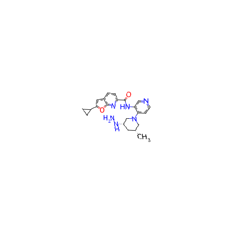 C[C@@H]1C[C@H](NN)CN(c2ccncc2NC(=O)c2ccc3cc(C4CC4)oc3n2)C1